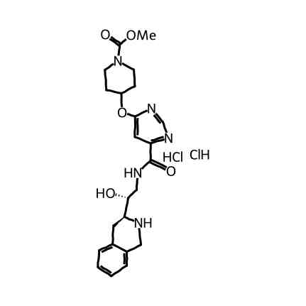 COC(=O)N1CCC(Oc2cc(C(=O)NC[C@@H](O)[C@@H]3Cc4ccccc4CN3)ncn2)CC1.Cl.Cl